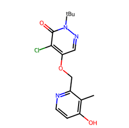 Cc1c(O)ccnc1COc1cnn(C(C)(C)C)c(=O)c1Cl